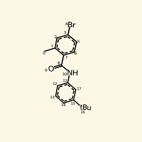 Cc1cc(Br)ccc1C(=O)Nc1cccc(C(C)(C)C)c1